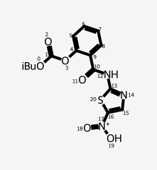 CC(C)COC(=O)Oc1ccccc1C(=O)Nc1ncc([N+](=O)O)s1